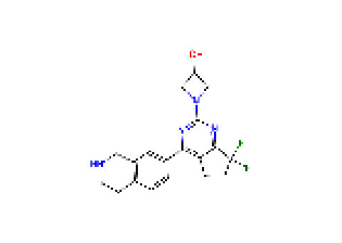 OC1CN(c2nc(-c3ccc4c(c3)CNCC4)c3c(n2)C(F)(F)CC3)C1